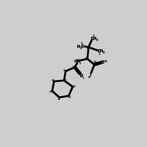 CC(C)(C)C(NC(=O)CC1CCCCC1)C(=O)I